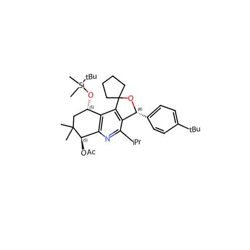 CC(=O)O[C@@H]1c2nc(C(C)C)c3c(c2[C@@H](O[Si](C)(C)C(C)(C)C)CC1(C)C)C1(CCCC1)O[C@@H]3c1ccc(C(C)(C)C)cc1